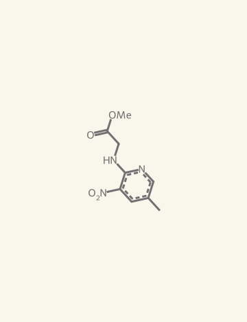 COC(=O)CNc1ncc(C)cc1[N+](=O)[O-]